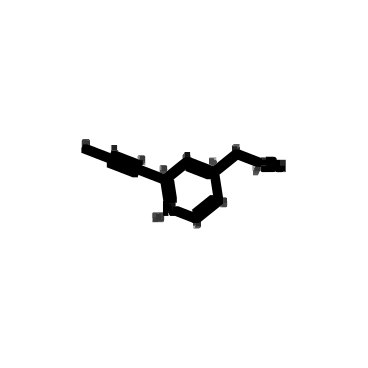 CC#Cc1cc(CC(C)(C)C)ccn1